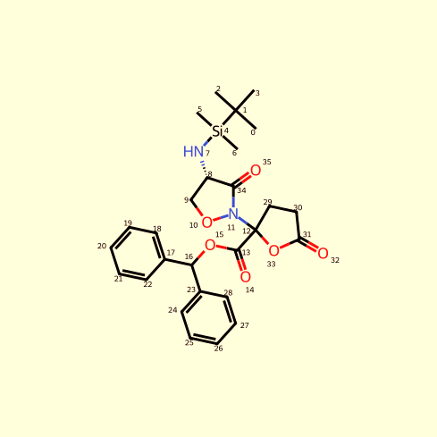 CC(C)(C)[Si](C)(C)N[C@H]1CON(C2(C(=O)OC(c3ccccc3)c3ccccc3)CCC(=O)O2)C1=O